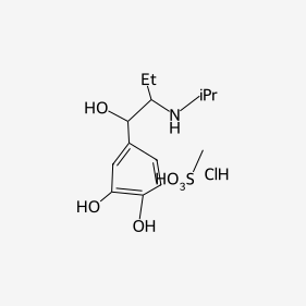 CCC(NC(C)C)C(O)c1ccc(O)c(O)c1.CS(=O)(=O)O.Cl